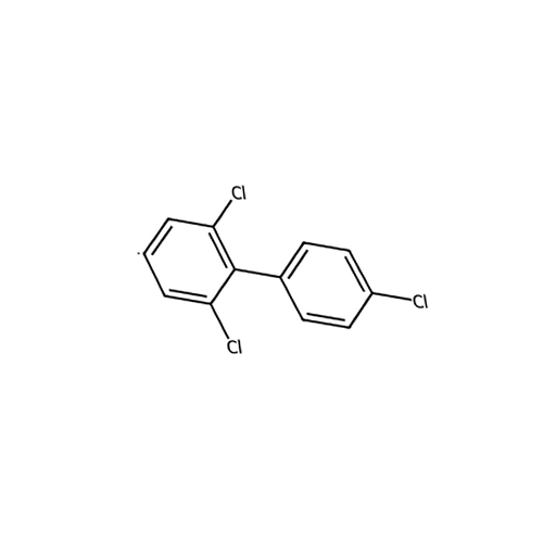 Clc1ccc(-c2c(Cl)c[c]cc2Cl)cc1